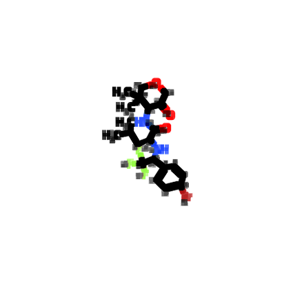 CC(C)C[C@H](N[C@@H](c1ccc(Br)cc1)C(F)(F)F)C(=O)NC1C(=O)COCC1(C)C